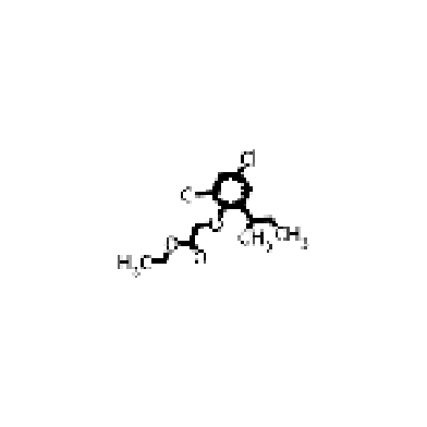 CCOC(=O)COc1c(Cl)cc(Cl)cc1C(C)CC